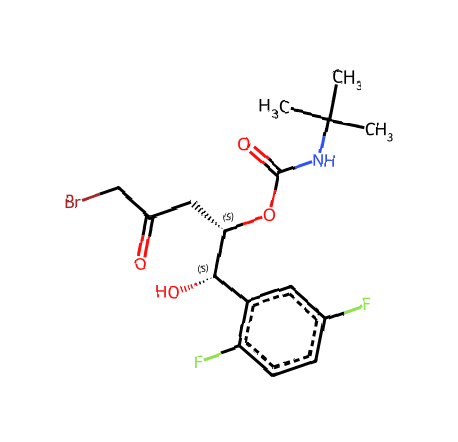 CC(C)(C)NC(=O)O[C@@H](CC(=O)CBr)[C@@H](O)c1cc(F)ccc1F